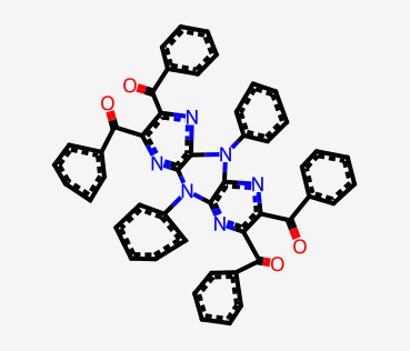 O=C(c1ccccc1)c1nc2c(nc1C(=O)c1ccccc1)N(c1ccccc1)c1nc(C(=O)c3ccccc3)c(C(=O)c3ccccc3)nc1N2c1ccccc1